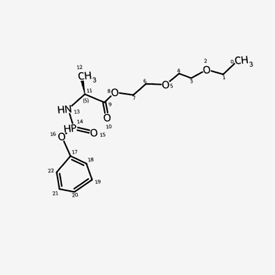 CCOCCOCCOC(=O)[C@H](C)N[PH](=O)Oc1ccccc1